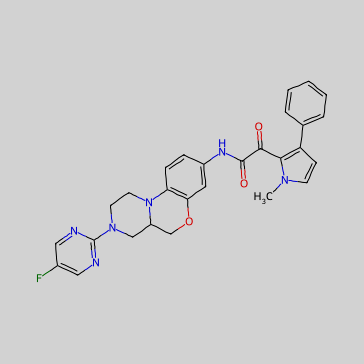 Cn1ccc(-c2ccccc2)c1C(=O)C(=O)Nc1ccc2c(c1)OCC1CN(c3ncc(F)cn3)CCN21